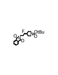 CC(C)(C)OC(=O)N1CCC(=C(F)CCN2C(=O)c3ccccc3C2=O)CC1